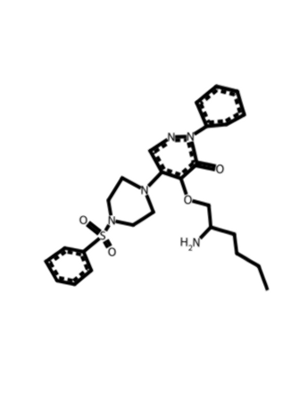 CCCCC(N)COc1c(N2CCN(S(=O)(=O)c3ccccc3)CC2)cnn(-c2ccccc2)c1=O